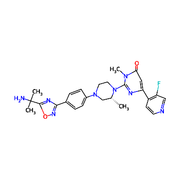 C[C@@H]1CN(c2ccc(-c3noc(C(C)(C)N)n3)cc2)CCN1c1nc(-c2ccncc2F)cc(=O)n1C